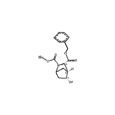 CC(C)(C)OC(=O)N1C2C[C@H]([C@H](O)C2)[C@H]1C(=O)OCc1ccccc1